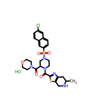 CC1Cc2nc(C(=O)N3CCN(S(=O)(=O)c4ccc5cc(Cl)ccc5c4)CC3C(=O)N3CCOCC3)sc2CN1.Cl